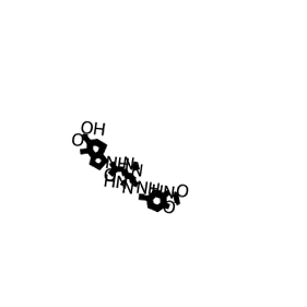 Cc1c(C(=O)O)ccc2c1CC[C@@H]2NC(=O)c1ncnc2c(NCc3ccc4c(c3)NC(=O)CO4)n[nH]c12